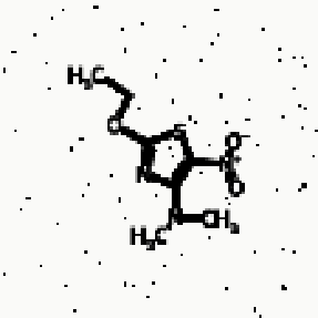 CCOc1nc(N(C)C)c([N+](=O)[O-])s1